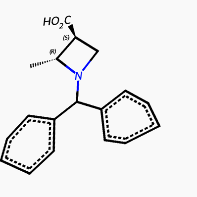 C[C@@H]1[C@@H](C(=O)O)CN1C(c1ccccc1)c1ccccc1